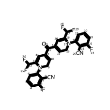 N#Cc1c(F)cccc1N1CC=C(C(=O)C2=CCN(c3cccc(F)c3C#N)C(C(F)F)=C2)C=C1C(F)F